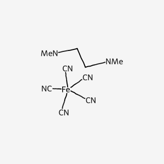 CNCCNC.N#[C][Fe]([C]#N)([C]#N)([C]#N)[C]#N